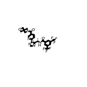 C[C@H](NC(=O)c1cc(C(F)(F)F)cc(C(F)(F)F)c1)c1ncnn1-c1ccc(C(=O)N2CC3(COC3)C2)cn1